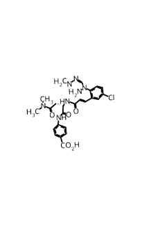 C=N/N=C\N(N)c1ccc(Cl)cc1/C=C/C(=O)N[C@@H](CC(=O)N(C)C)C(=O)Nc1ccc(C(=O)O)cc1